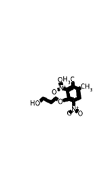 Cc1cc([N+](=O)[O-])c(OCCCO)c([N+](=O)[O-])c1C